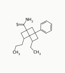 CCCC1CC2(C(N)=S)CC3(c4ccccc4)CC(CC)C123